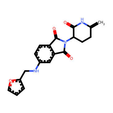 C=C1CCC(N2C(=O)c3ccc(NCc4ccco4)cc3C2=O)C(=O)N1